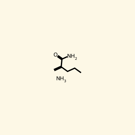 C=C(CCC)C(N)=O.N